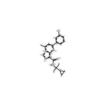 Cc1cc(-c2cccc(Cl)c2)nc2c(C(=O)NC(C)(C)C3CC3)ncn12